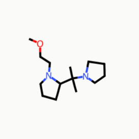 COCCN1CCCC1C(C)(C)N1CCCC1